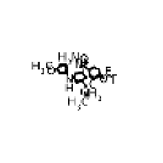 CCOCc1cc(Nc2cccc(OC)c2)cc([C@@]2(c3ccc(OC(F)F)c(C)c3)COC(N)=N2)c1